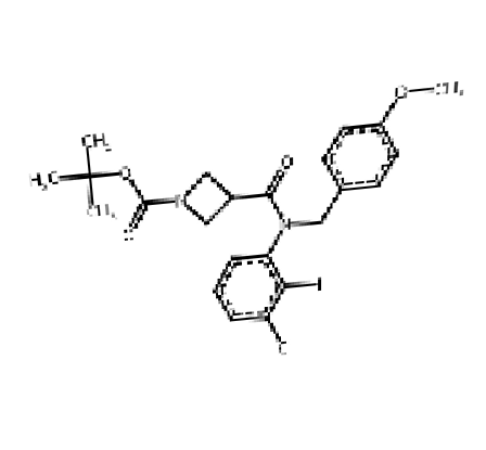 COc1ccc(CN(C(=O)C2CN(C(=O)OC(C)(C)C)C2)c2cccc(Cl)c2I)cc1